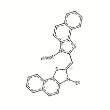 CCCCCCC[n+]1c(/C=C2\Sc3c(ccc4ccccc34)N2CC)sc2c3ccccc3ccc21